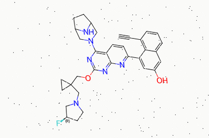 C#Cc1cccc2cc(O)cc(-c3ccc4c(N5CC6CCC(C5)N6)nc(OCC5(CN6CC[C@@H](F)C6)CC5)nc4n3)c12